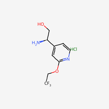 Cl.N[C@@H](CO)c1ccnc(OCC(F)(F)F)c1